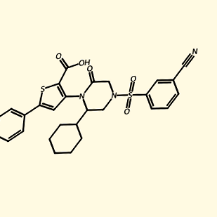 N#Cc1cccc(S(=O)(=O)N2CC(=O)N(c3cc(-c4ccccc4)sc3C(=O)O)C(C3CCCCC3)C2)c1